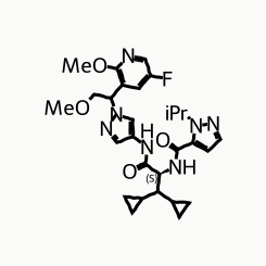 COCC(c1cc(F)cnc1OC)n1cc(NC(=O)[C@@H](NC(=O)c2ccnn2C(C)C)C(C2CC2)C2CC2)cn1